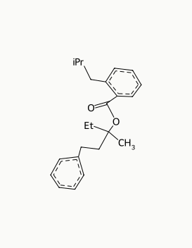 CCC(C)(CCc1ccccc1)OC(=O)c1ccccc1CC(C)C